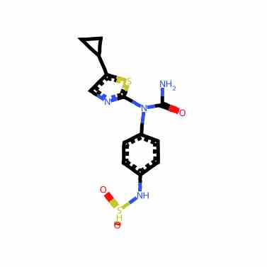 NC(=O)N(c1ccc(N[SH](=O)=O)cc1)c1ncc(C2CC2)s1